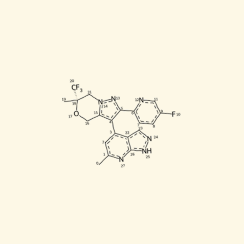 Cc1cc(-c2c(-c3ccc(F)cn3)nn3c2CO[C@](C)(C(F)(F)F)C3)c2cn[nH]c2n1